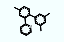 Cc1cc(C)cc(-c2ccc(C)cc2-c2ccccn2)c1